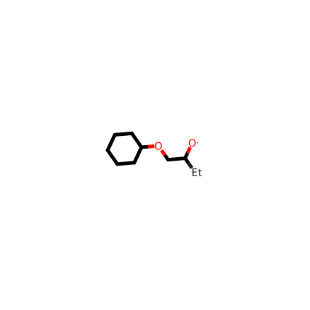 CCC([O])COC1CCCCC1